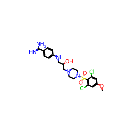 COc1cc(Cl)c(S(=O)(=O)N2CCN(CC(O)CNc3ccc(C(=N)N)cc3)CC2)c(Cl)c1